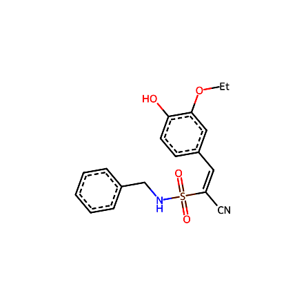 CCOc1cc(/C=C(/C#N)S(=O)(=O)NCc2ccccc2)ccc1O